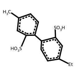 CCc1ccc(-c2ccc(C)cc2S(=O)(=O)O)c(S(=O)(=O)O)c1